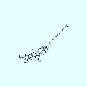 CC#CCn1c(N2CCC[C@@H](NC(=O)CCCCCCCCCCCCCCCCl)C2)nc2c1c(=O)n(Cc1nc(C)c3ccccc3n1)c(=O)n2C